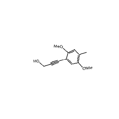 COc1cc(C#CCO)c(OC)cc1C